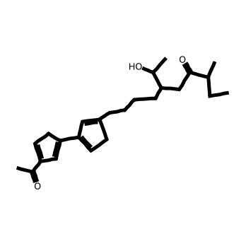 CCC(C)C(=O)CC(CCCCC1=CC(C2=CC(C(C)=O)=CC2)=CC1)C(C)O